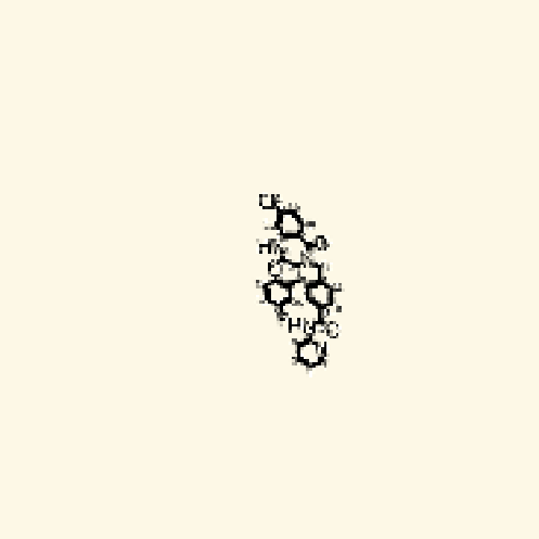 O=C(Nc1ccccn1)c1ccc(CN2C(=O)c3ccc(Cl)cc3NC(=O)[C@H]2Cc2cccc(F)c2)cc1